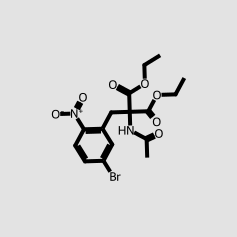 CCOC(=O)C(Cc1cc(Br)ccc1[N+](=O)[O-])(NC(C)=O)C(=O)OCC